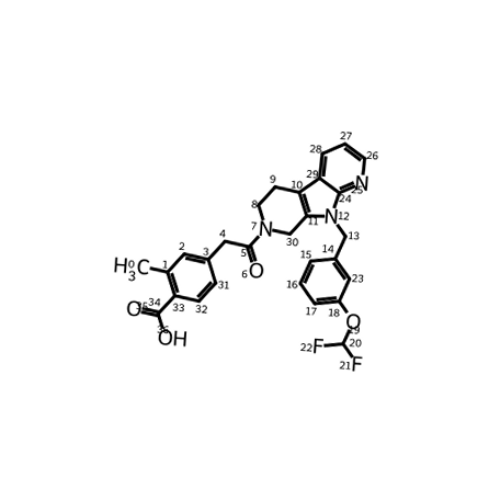 Cc1cc(CC(=O)N2CCc3c(n(Cc4cccc(OC(F)F)c4)c4ncccc34)C2)ccc1C(=O)O